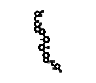 Cc1c(-c2ccn3c(=O)c(CNCC4CCC(=O)N4)cnc3c2)cccc1-c1cccc(-c2ccc3c(c2)CC[C@H]3NCC2CCC(=O)N2)c1Cl